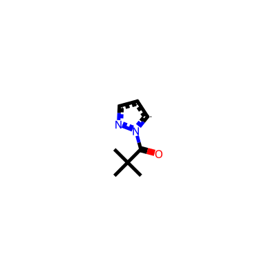 CC(C)(C)C(=O)n1[c]ccn1